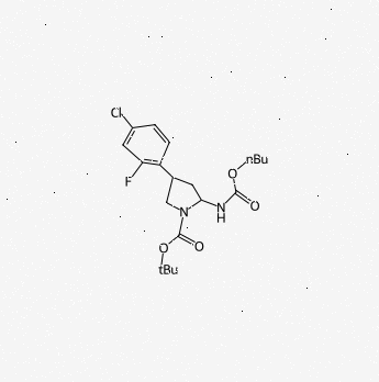 CCCCOC(=O)NC1CC(c2ccc(Cl)cc2F)CN1C(=O)OC(C)(C)C